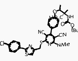 CNc1nc(SCc2csc(-c3ccc(Cl)cc3)n2)c(C#N)c(-c2ccc(OC(C)[C@@](C)(NC(=O)OC(C)(C)C)C(=O)O)cc2)c1C#N